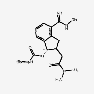 CN(C)C(=O)CC1Cc2c(C(=N)NO)cccc2[C@H]1OC(=O)NC(C)(C)C